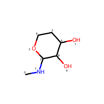 CNC1OCCC(O)C1O